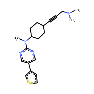 CN(C)CC#CC1CCC(N(C)c2ncc(-c3ccsc3)cn2)CC1